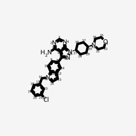 Nc1ncnc2c1c(-c1ccc3c(ccn3Cc3cccc(Cl)c3)c1)nn2[C@H]1CC[C@H](N2CCOCC2)CC1